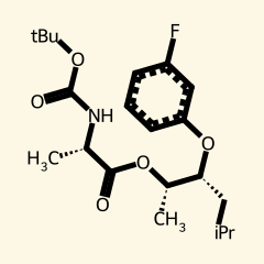 CC(C)C[C@@H](Oc1cccc(F)c1)[C@H](C)OC(=O)[C@H](C)NC(=O)OC(C)(C)C